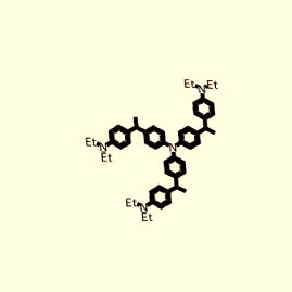 CCN(CC)c1ccc(C(C)c2ccc(N(c3ccc(C(C)c4ccc(N(CC)CC)cc4)cc3)c3ccc(C(C)c4ccc(N(CC)CC)cc4)cc3)cc2)cc1